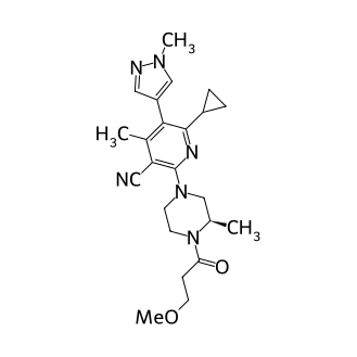 COCCC(=O)N1CCN(c2nc(C3CC3)c(-c3cnn(C)c3)c(C)c2C#N)C[C@H]1C